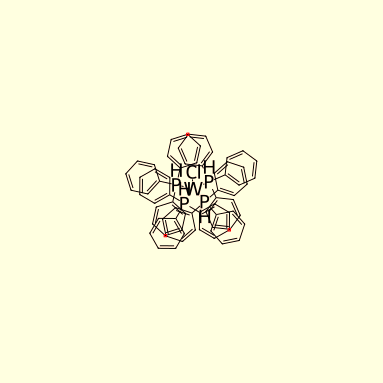 [Cl][W]([PH](c1ccccc1)(c1ccccc1)c1ccccc1)([PH](c1ccccc1)(c1ccccc1)c1ccccc1)([PH](c1ccccc1)(c1ccccc1)c1ccccc1)[PH](c1ccccc1)(c1ccccc1)c1ccccc1